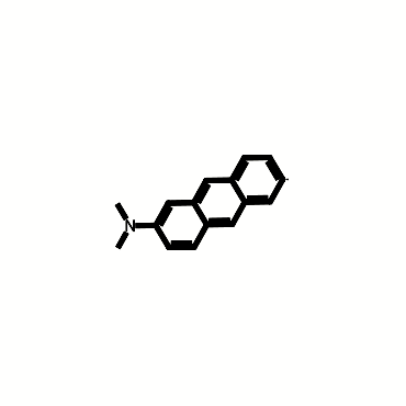 CN(C)c1ccc2cc3c[c]ccc3cc2c1